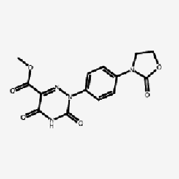 COC(=O)c1nn(-c2ccc(N3CCOC3=O)cc2)c(=O)[nH]c1=O